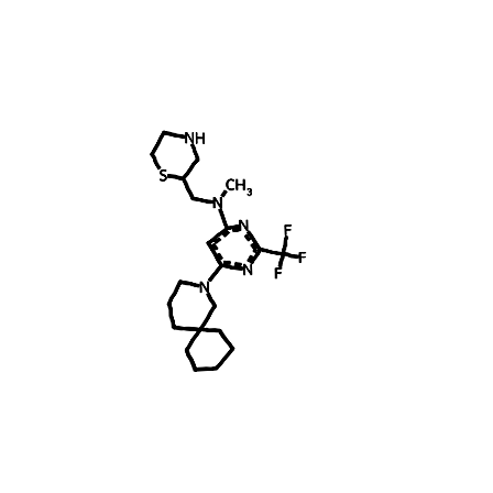 CN(CC1CNCCS1)c1cc(N2CCCC3(CCCCC3)C2)nc(C(F)(F)F)n1